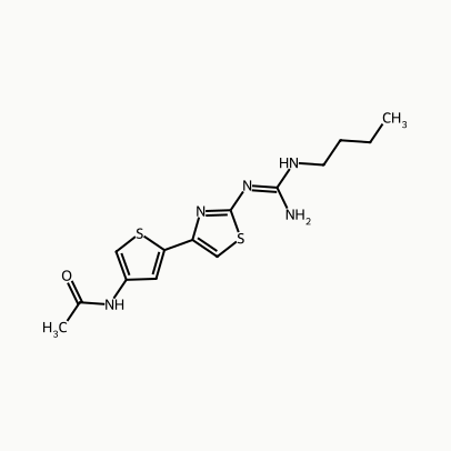 CCCCN/C(N)=N/c1nc(-c2cc(NC(C)=O)cs2)cs1